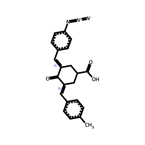 Cc1ccc(/C=C2\CC(C(=O)O)C/C(=C\c3ccc(N=[N+]=[N-])cc3)C2=O)cc1